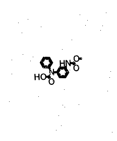 COC(=O)Nc1cccc(N(C(=O)O)c2ccccc2)c1